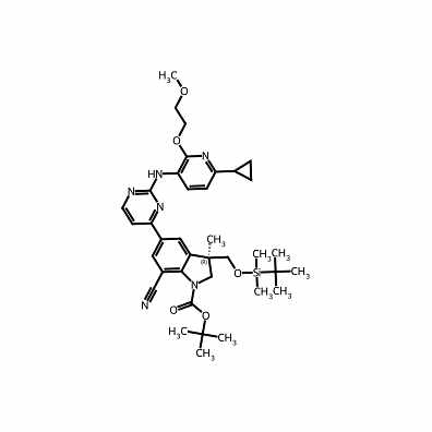 COCCOc1nc(C2CC2)ccc1Nc1nccc(-c2cc(C#N)c3c(c2)[C@@](C)(CO[Si](C)(C)C(C)(C)C)CN3C(=O)OC(C)(C)C)n1